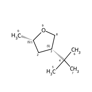 C[C@H]1C[C@@H](C(C)(C)C)CO1